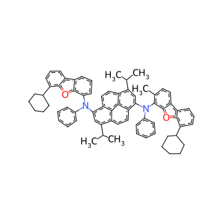 Cc1ccc2c(oc3c(C4CCCCC4)cccc32)c1N(c1ccccc1)c1cc(C(C)C)c2ccc3c(N(c4ccccc4)c4cccc5c4oc4c(C6CCCCC6)cccc45)cc(C(C)C)c4ccc1c2c43